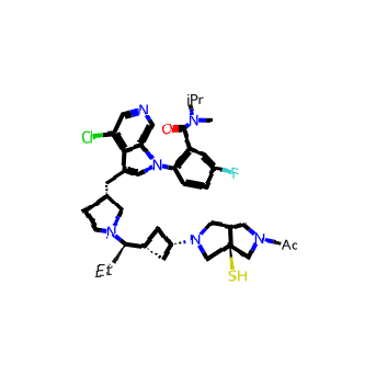 CC[C@H]([C@H]1C[C@@H](N2CC3CN(C(C)=O)C[C@]3(S)C2)C1)N1CC[C@H](Cc2cn(-c3ccc(F)cc3C(=O)N(C)C(C)C)c3cncc(Cl)c23)C1